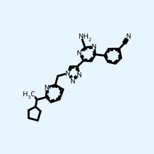 CC(c1cccc(Cn2cc(-c3cc(-c4cccc(C#N)c4)nc(N)n3)nn2)n1)C1CCCC1